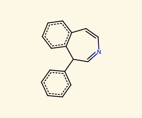 C1=Cc2ccccc2C(c2ccccc2)C=N1